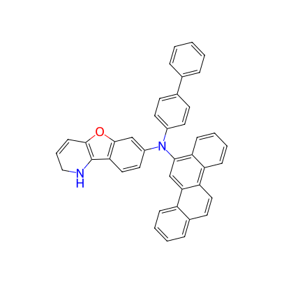 C1=Cc2oc3cc(N(c4ccc(-c5ccccc5)cc4)c4cc5c6ccccc6ccc5c5ccccc45)ccc3c2NC1